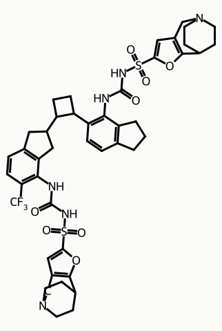 O=C(Nc1c(C2CCC2C2Cc3ccc(C(F)(F)F)c(NC(=O)NS(=O)(=O)c4cc5c(o4)C4CCN(CC4)C5)c3C2)ccc2c1CCC2)NS(=O)(=O)c1cc2c(o1)C1CCN(CC1)C2